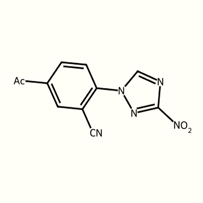 CC(=O)c1ccc(-n2cnc([N+](=O)[O-])n2)c(C#N)c1